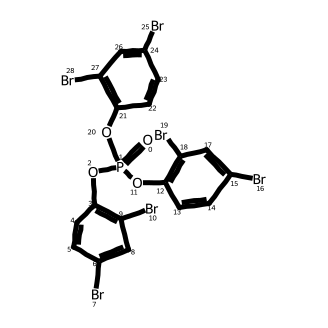 O=P(Oc1ccc(Br)cc1Br)(Oc1ccc(Br)cc1Br)Oc1ccc(Br)cc1Br